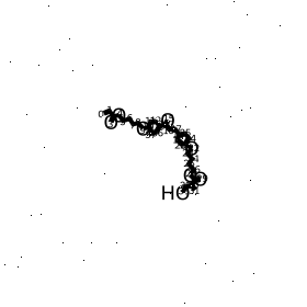 C=CC(=O)OCCCCOc1ccc(C(=O)/C=C/c2ccc(OCCCCOC(=O)C(=C)CO)cc2)cc1